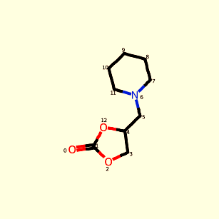 O=C1OCC(CN2CCCCC2)O1